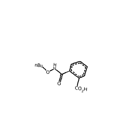 CCCCONC(=O)c1ccccc1C(=O)O